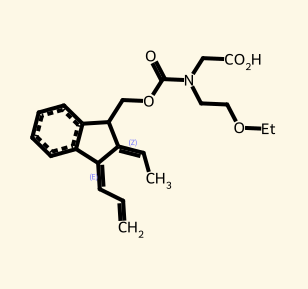 C=C/C=C1\C(=C/C)C(COC(=O)N(CCOCC)CC(=O)O)c2ccccc21